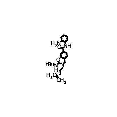 CN(C)CCCN(Cc1ccc(C(=O)Nc2ccccc2N)cc1)C(=O)NC(C)(C)C